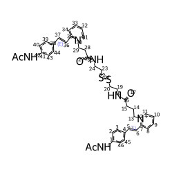 CC(=O)Nc1ccc(/C=C/c2cccc[n+]2CCCC(=O)NCCSSCCNC(=O)CC[n+]2ccccc2/C=C/c2ccc(NC(C)=O)cc2)cc1